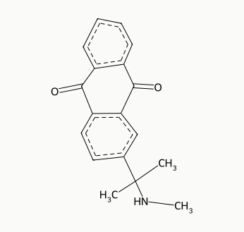 CNC(C)(C)c1ccc2c(c1)C(=O)c1ccccc1C2=O